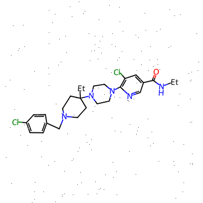 CCNC(=O)c1cnc(N2CCN(C3(CC)CCN(Cc4ccc(Cl)cc4)CC3)CC2)c(Cl)c1